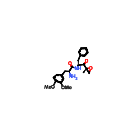 COc1ccc(C[C@H](N)C(=O)N[C@@H](Cc2ccccc2)C(=O)[C@@]2(C)CO2)cc1OC